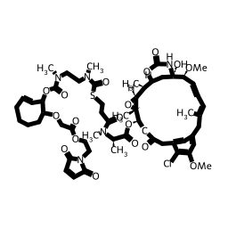 COc1cc2cc(c1Cl)CC(=O)C[C@H](OC(=O)[C@H](C)N(C)C(=O)CCSC(=O)N(C)CCN(C)C(=O)OC1/C=C/CCCCC1OCC(=O)OCCN1C(=O)C=CC1=O)[C@]1(C)O[C@H]1[C@H](C)[C@@H]1C[C@@](O)(NC(=O)O1)[C@H](OC)/C=C/C=C(\C)C2